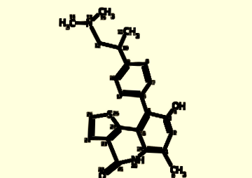 Cc1cc(O)c(-c2ccc(C(C)CN(C)C)cc2)c2c1[nH]c(=O)c1ccsc12